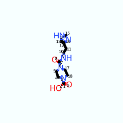 O=C(O)N1CCN(C(=O)NCCc2c[nH]cn2)CC1